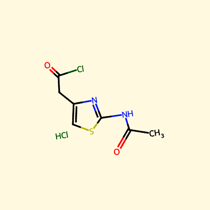 CC(=O)Nc1nc(CC(=O)Cl)cs1.Cl